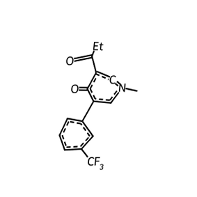 CCC(=O)c1cn(C)cc(-c2cccc(C(F)(F)F)c2)c1=O